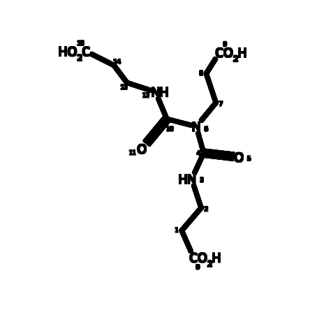 O=C(O)CCNC(=O)N(CCC(=O)O)C(=O)NCCC(=O)O